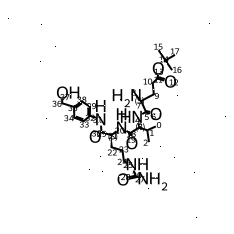 CC(C)[C@H](NC(=O)[C@@H](N)CCC(=O)OC(C)(C)C)C(=O)N[C@@H](CCCNC(N)=O)C(=O)Nc1ccc(CO)cc1